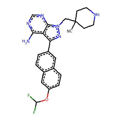 N#CC1(Cn2nc(-c3ccc4cc(OC(F)F)ccc4c3)c3c(N)ncnc32)CCNCC1